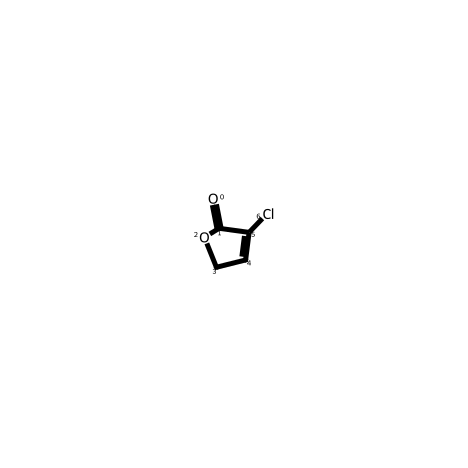 O=C1OCC=C1Cl